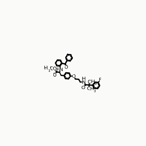 COC(=O)C(Cc1ccc(OCCCNC(=O)C(C)(C)c2cccc(F)c2)cc1)Nc1ccccc1C(=O)c1ccccc1